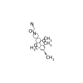 CC#CC1=CC(C)C(C2=C(OC)CC3(CCN(C(=O)CC#N)CC3)CC2=O)C(C)=C1